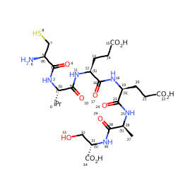 CC(C)[C@H](NC(=O)[C@@H](N)CS)C(=O)N[C@@H](CCC(=O)O)C(=O)N[C@@H](CCC(=O)O)C(=O)N[C@@H](C)C(=O)N[C@@H](CO)C(=O)O